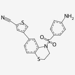 N#Cc1cc(-c2ccc3c(c2)N(S(=O)(=O)c2ccc(N)cc2)CCS3)cs1